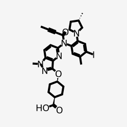 CC#CC(=O)N(c1ccc2c(n1)c(O[C@H]1CC[C@H](C(=O)O)CC1)nn2C)c1cc(C)c(I)cc1N1CC[C@H](C)C1